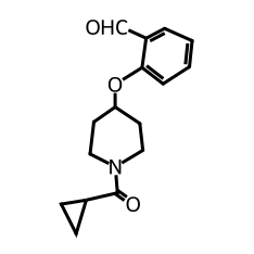 O=Cc1ccccc1OC1CCN(C(=O)C2CC2)CC1